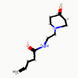 C=CCCC(=O)NCCN1CCC(=O)CC1